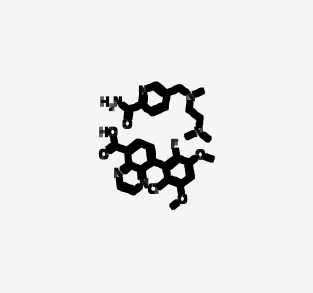 CN(C)CCN(C)Cc1ccc(C(N)=O)nc1.COc1cc(OC)c(Cl)c(-c2ccc(C(=O)O)c3nccnc23)c1F